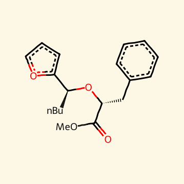 CCCC[C@H](O[C@H](Cc1ccccc1)C(=O)OC)c1ccco1